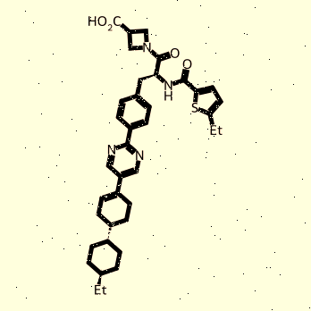 CCc1ccc(C(=O)N[C@@H](Cc2ccc(-c3ncc(C4=CCC([C@H]5CC[C@H](CC)CC5)CC4)cn3)cc2)C(=O)N2CC(C(=O)O)C2)s1